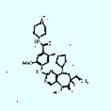 C=CC1(F)CN(C2CCCC2)c2nc(Nc3cc(F)c(C(=O)NC4CCN(C)CC4)cc3OC)ncc2N(C)C1=O